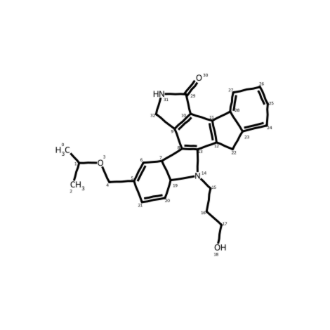 CC(C)OCC1=CC2c3c4c(c5c(c3N(CCCO)C2C=C1)Cc1ccccc1-5)C(=O)NC4